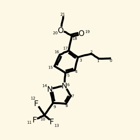 CCCc1cc(-n2ccc(C(F)(F)F)n2)ccc1C(=O)OC